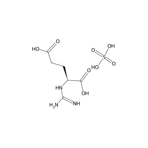 N=C(N)N[C@@H](CCC(=O)O)C(=O)O.O=S(=O)(O)O